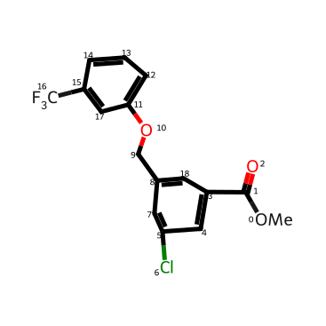 COC(=O)c1cc(Cl)cc(COc2cccc(C(F)(F)F)c2)c1